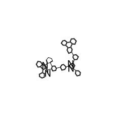 C1=C2C(=CCC1)n1c3ccccc3c3c4ccccc4nc(c31)-c1ccc(-c3ccc(-c4nc(-c5ccccc5)cc(-c5cccc(-c6ccc7c8ccccc8c8ccccc8c7c6)c5)n4)cc3)cc12